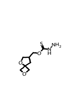 NNC(=S)OCC1COC2(COC2)C1